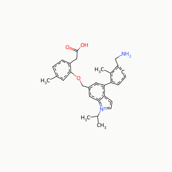 Cc1ccc(CC(=O)O)c(OCc2cc(-c3cccc(CN)c3C)c3ccn(C(C)C)c3c2)c1